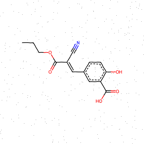 CCCOC(=O)/C(C#N)=C/c1ccc(O)c(C(=O)O)c1